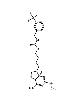 CNC1=N[C@@H]2C(N=CN2CCCCOC(=O)NCc2cccc(C(F)(F)F)c2)C(N)=N1